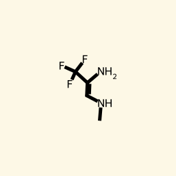 CN/C=C(\N)C(F)(F)F